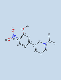 COc1cc(C2=CCCN(C(C)C)C2)ccc1[N+](=O)[O-]